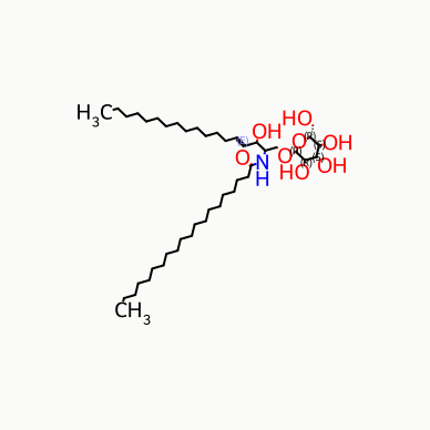 CCCCCCCCCCCCC/C=C/C(O)C(CO[C@@H]1O[C@H](CO)[C@@H](O)[C@H](O)[C@H]1O)NC(=O)CCCCCCCCCCCCCCCCCCC